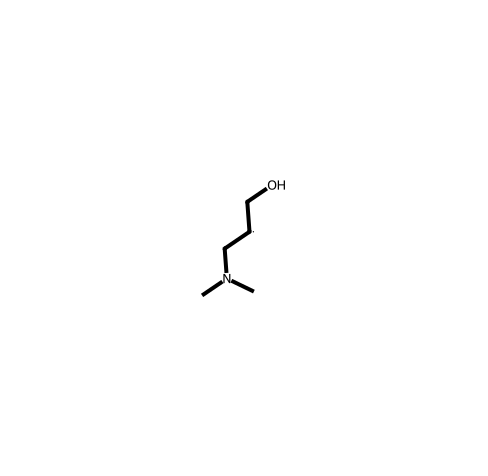 CN(C)C[CH]CO